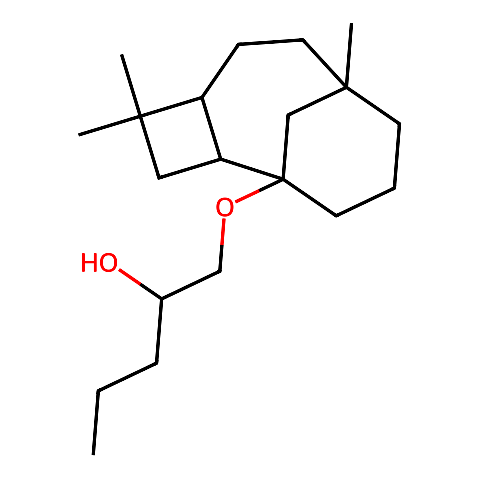 CCCC(O)COC12CCCC(C)(CCC3C1CC3(C)C)C2